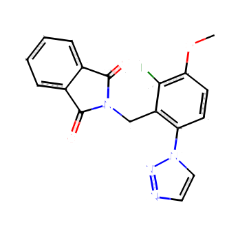 COc1ccc(-n2ccnn2)c(CN2C(=O)c3ccccc3C2=O)c1F